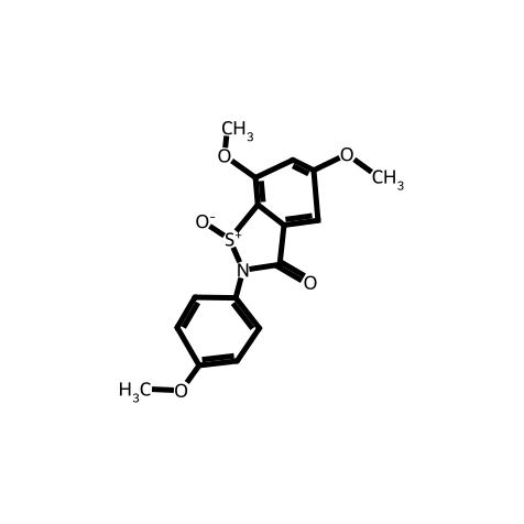 COc1ccc(-n2c(=O)c3cc(OC)cc(OC)c3[s+]2[O-])cc1